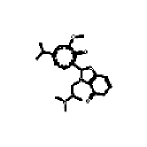 COc1cc(C(C)C)ccc(C2SC3=C(C(=O)CC=C3)N2CC(C)N(C)C)c1=O